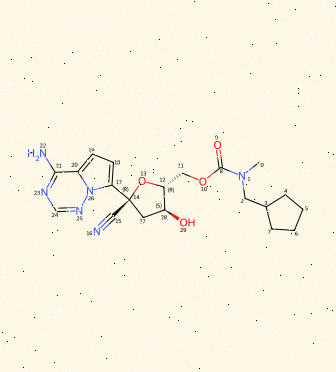 CN(CC1CCCC1)C(=O)OC[C@H]1O[C@@](C#N)(c2ccc3c(N)ncnn23)C[C@@H]1O